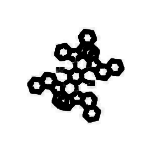 N#Cc1c(-n2c3ccccc3c3c4ccccc4ccc32)c(-n2c3ccccc3c3c4ccccc4ccc32)c(C#N)c(-n2c3ccccc3c3c4ccccc4ccc32)c1-n1c2ccccc2c2c3ccccc3ccc21